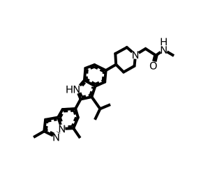 CNC(=O)CN1CCC(c2ccc3[nH]c(-c4cc(C)n5nc(C)cc5c4)c(C(C)C)c3c2)CC1